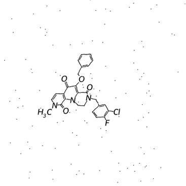 Cn1ccc2c(=O)c(OCc3ccccc3)c3n(c2c1=O)CCN(Cc1ccc(F)c(Cl)c1)C3=O